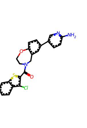 Nc1ccc(-c2ccc3c(c2)CN(C(=O)c2sc4ccccc4c2Cl)CCO3)cn1